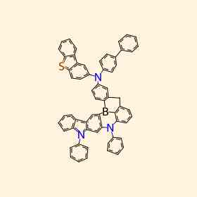 c1ccc(-c2ccc(N(c3ccc4c(c3)Cc3cccc5c3B4c3cc4c6ccccc6n(-c6ccccc6)c4cc3N5c3ccccc3)c3ccc4sc5ccccc5c4c3)cc2)cc1